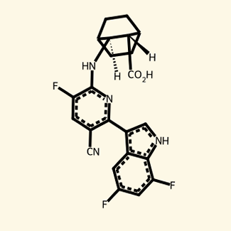 N#Cc1cc(F)c(N[C@H]2C3CCC(CC3)[C@@H]2C(=O)O)nc1-c1c[nH]c2c(F)cc(F)cc12